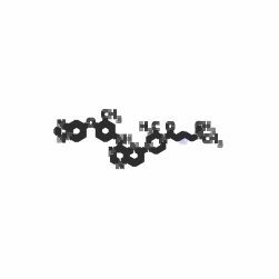 Cc1cc(Nc2ncnc3ccc(N4CCN(C(=O)/C=C/CN(C)C)C(C)C4)nc23)ccc1Oc1ccn2ncnc2c1